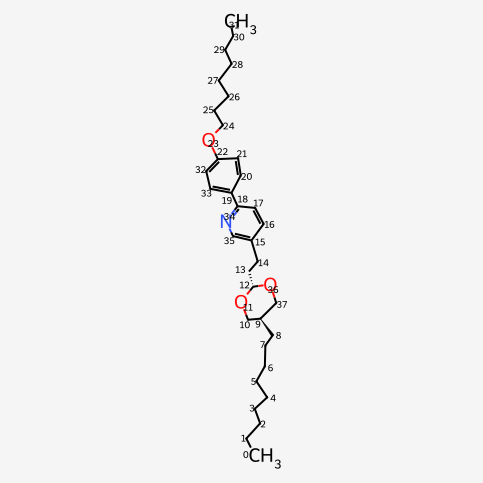 CCCCCCCCC[C@H]1CO[C@H](CCc2ccc(-c3ccc(OCCCCCCCC)cc3)nc2)OC1